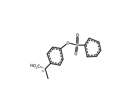 C[C@H](C(=O)O)c1ccc(OS(=O)(=O)c2ccccc2)cc1